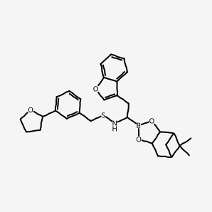 CC1(C)C2CC3OB(C(Cc4coc5ccccc45)NSCc4cccc(C5CCCO5)c4)OC3C1C2